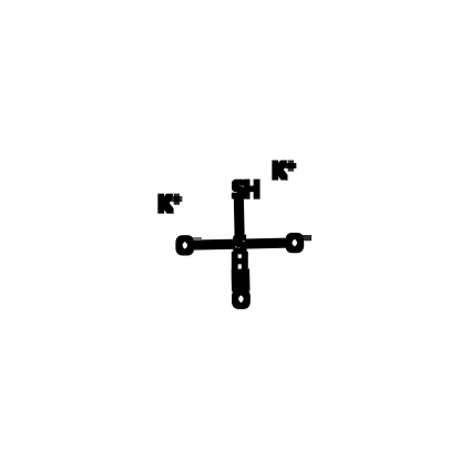 O=[SH]([O-])([O-])S.[K+].[K+]